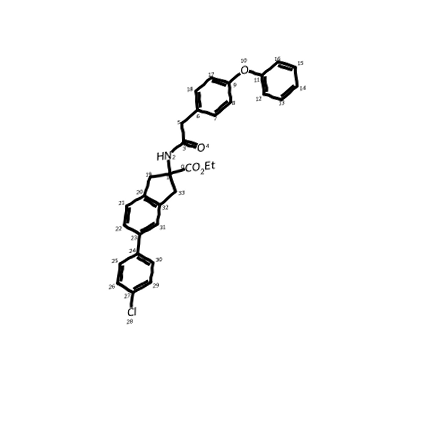 CCOC(=O)C1(NC(=O)Cc2ccc(Oc3ccccc3)cc2)Cc2ccc(-c3ccc(Cl)cc3)cc2C1